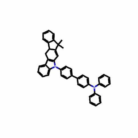 CC1(C)C2=Cc3c(c4ccccc4n3-c3ccc(-c4ccc(N(c5ccccc5)c5ccccc5)cc4)cc3)CC2c2ccccc21